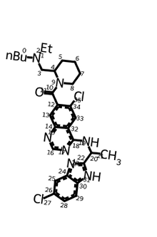 CCCCN(CC)CC1CCCCN1C(=O)c1cc2ncnc(NC(C)c3nc4cc(Cl)ccc4[nH]3)c2cc1Cl